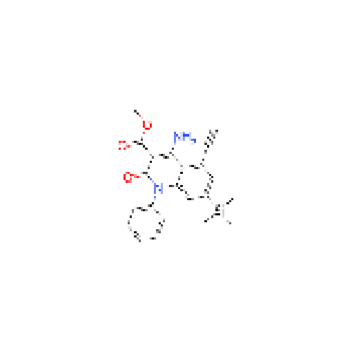 C#Cc1cc([Si](C)(C)C)cc2c1c(N)c(C(=O)OC)c(=O)n2-c1ccccc1